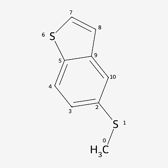 CSc1ccc2sccc2c1